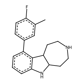 Cc1cc(-c2cccc3c2C2CCNCCC2N3)ccc1F